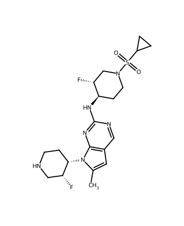 Cc1cc2cnc(N[C@@H]3CCN(S(=O)(=O)C4CC4)C[C@H]3F)nc2n1[C@H]1CCNC[C@H]1F